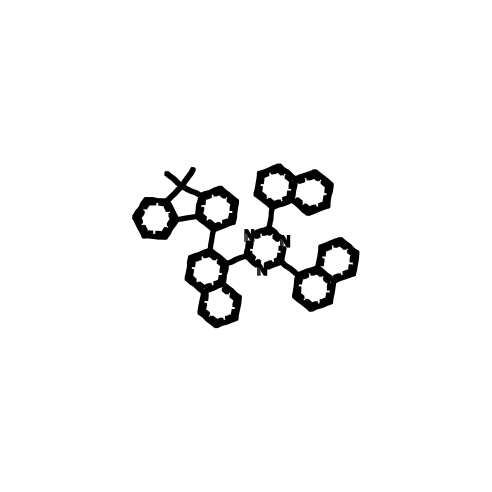 CC1(C)c2ccccc2-c2c(-c3ccc4ccccc4c3-c3nc(-c4cccc5ccccc45)nc(-c4cccc5ccccc45)n3)cccc21